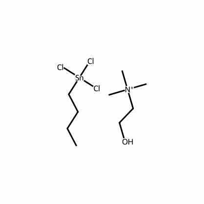 CCC[CH2][Sn]([Cl])([Cl])[Cl].C[N+](C)(C)CCO